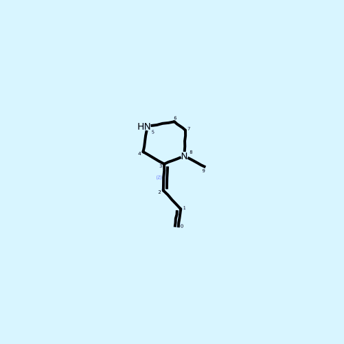 C=C/C=C1/CNCCN1C